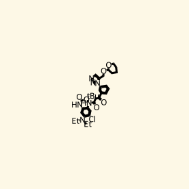 CCN(CC)c1cc(NC(=O)OC(C)(C)C)c(NC(=O)CC(=O)c2cccc(-n3nncc3COC3CCCCO3)c2)cc1Cl